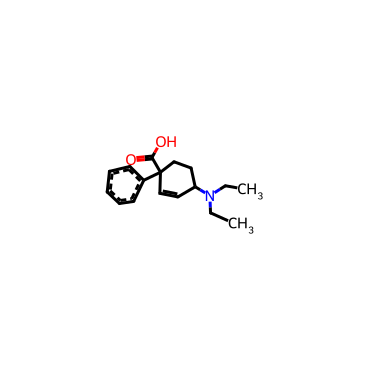 CCN(CC)C1C=CC(C(=O)O)(c2ccccc2)CC1